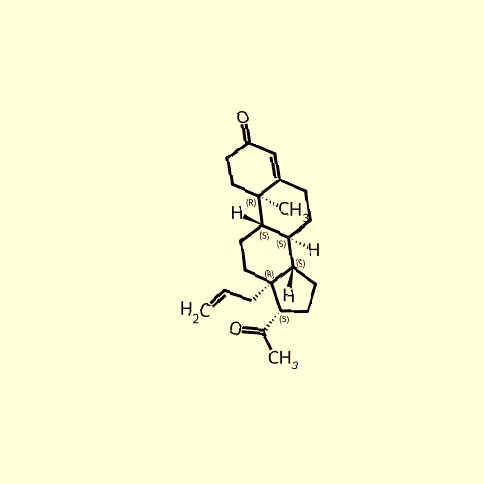 C=CC[C@]12CC[C@H]3[C@@H](CCC4=CC(=O)CC[C@@]43C)[C@@H]1CC[C@@H]2C(C)=O